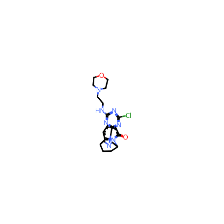 O=c1cccc2n1C1CCC2CN(c2nc(Cl)nc(NCCN3CCOCC3)n2)C1